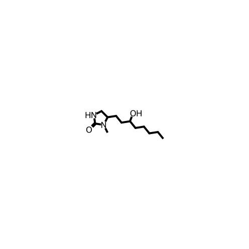 CCCCCC(O)CCC1CNC(=O)N1C